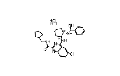 Cl.Cl.N=C(N[C@@H]1CCCC[C@@H]1Nc1nc(C(=O)NCC2CCCC2)nc2ccc(Cl)cc12)c1ccccc1